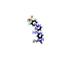 Cc1nc2cnc(Nc3ccnc(N4CC[C@H]([S+](C)[O-])[C@H](F)C4)n3)cc2n1C(C)C